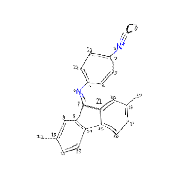 [C-]#[N+]c1ccc(N=C2c3cc(C)ccc3-c3ccc(C)cc32)cc1